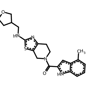 Cc1cccc2[nH]c(C(=O)N3CCc4nc(NCC5CCOC5)sc4C3)cc12